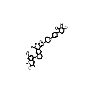 COc1cc(N2CCCc3cc(-c4cnn(C5CCN(c6ccc(C7CCC(=O)NC7=O)cc6)CC5)c4)c(C(F)F)cc32)c2cc(C)c(=O)n(C)c2c1